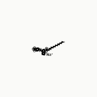 CCCCCCCCCCCCCCCC(=O)Oc1ccc(N=Nc2ccc(S(=O)(=O)[O-])cc2)c2ccccc12.[Na+]